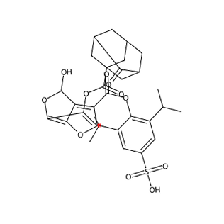 CC(C)c1cc(S(=O)(=O)O)cc(C(C)C)c1OC(=O)c1c2c3oc1c(OC(=O)C14CC5CC(C1)C(=O)C(C5)C4)c3OC2O